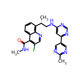 CNC(=O)c1c(F)cnc2c([C@H](C)CNc3cc(-c4cnc(C)nc4)ncn3)cccc12